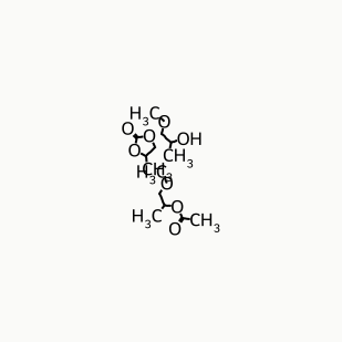 CC1COC(=O)O1.COCC(C)O.COCC(C)OC(C)=O